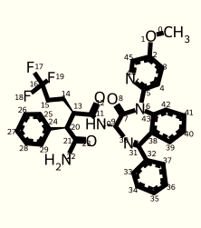 COc1ccc(N2C(=O)[C@@H](NC(=O)[C@H](CCC(F)(F)F)[C@@H](C(N)=O)c3ccccc3)N=C(c3ccccc3)c3ccccc32)nc1